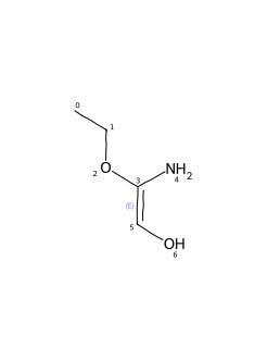 CCO/C(N)=C/O